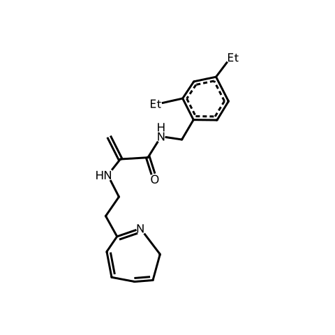 C=C(NCCC1=NCC=CC=C1)C(=O)NCc1ccc(CC)cc1CC